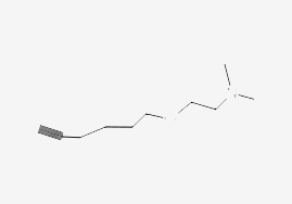 C#CCCCCOCCN(C)C